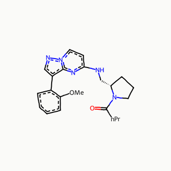 CCCC(=O)N1CCC[C@H]1CNc1ccn2ncc(-c3ccccc3OC)c2n1